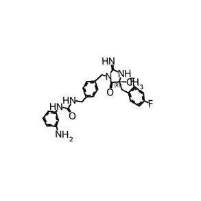 C[C@]1(Cc2ccc(F)cc2F)NC(=N)N(Cc2ccc(CNC(=O)Nc3cccc(N)c3)cc2)C1=O